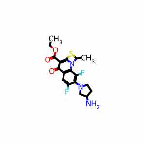 CCOC(=O)c1c2n(c3c(F)c(N4CCC(N)C4)c(F)cc3c1=O)C(C)S2